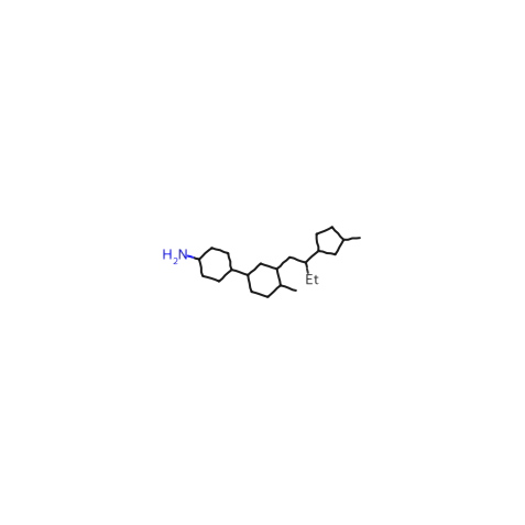 CCC(CC1CC(C2CCC(N)CC2)CCC1C)C1CCC(C)C1